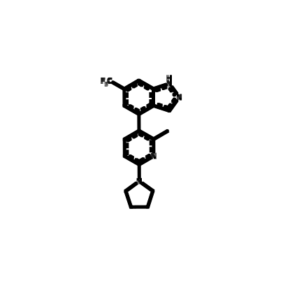 Cc1nc(N2CCCC2)ccc1-c1cc(C(F)(F)F)cc2[nH]ncc12